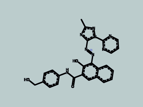 Cc1nc(/N=N/c2c(O)c(C(=O)Nc3ccc(CO)cc3)cc3ccccc23)n(-c2ncccn2)n1